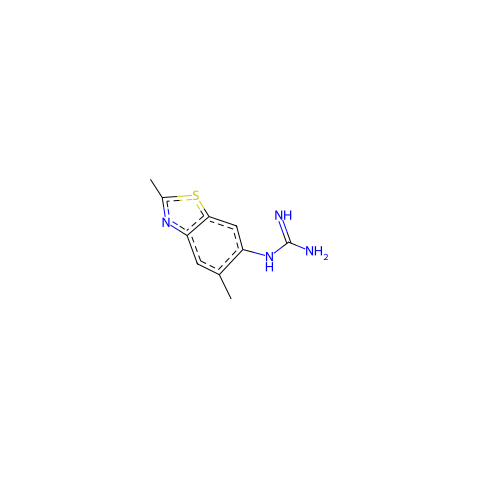 Cc1nc2cc(C)c(NC(=N)N)cc2s1